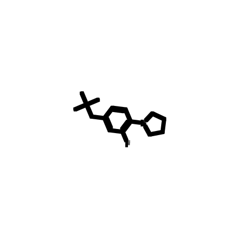 CC(C)(C)Cc1ccc(N2CCCC2)c(F)c1